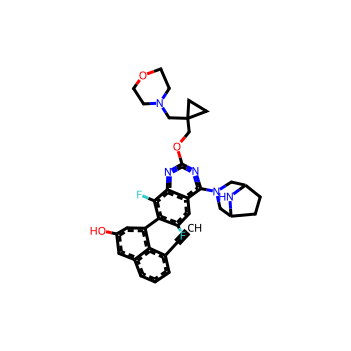 C#Cc1cccc2cc(O)cc(-c3c(F)cc4c(N5CC6CCC(C5)N6)nc(OCC5(CN6CCOCC6)CC5)nc4c3F)c12